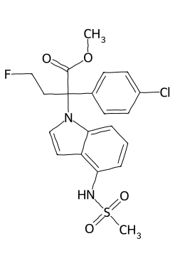 COC(=O)C(CCF)(c1ccc(Cl)cc1)n1ccc2c(NS(C)(=O)=O)cccc21